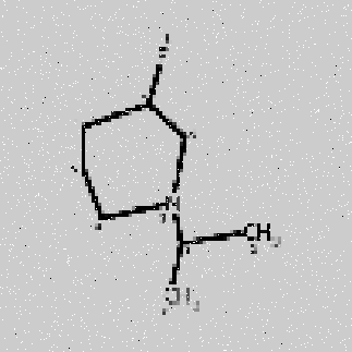 CC(C)N1CCC[C](F)C1